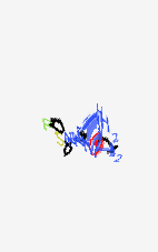 CC(C)CC(=O)Nc1c(N)nc(-n2nc(Sc3ccccc3F)c3ccccc32)nc1N